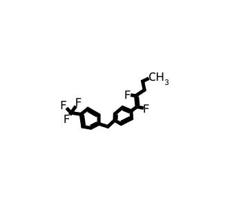 CCC/C(F)=C(\F)c1ccc(Cc2ccc(C(F)(F)F)cc2)cc1